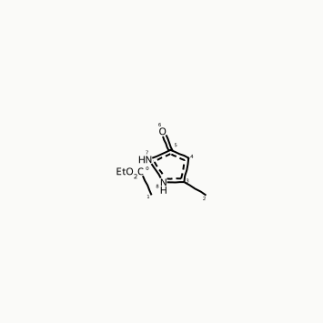 CCOC(C)=O.Cc1cc(=O)[nH][nH]1